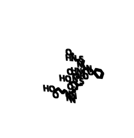 O=CNc1nc(/C(=N/Oc2ccccc2)C(=O)NC2C(=O)N3C(C(=O)O)=C(CSc4nnnn4/C=C/CC(=O)O)CS[C@H]23)cs1